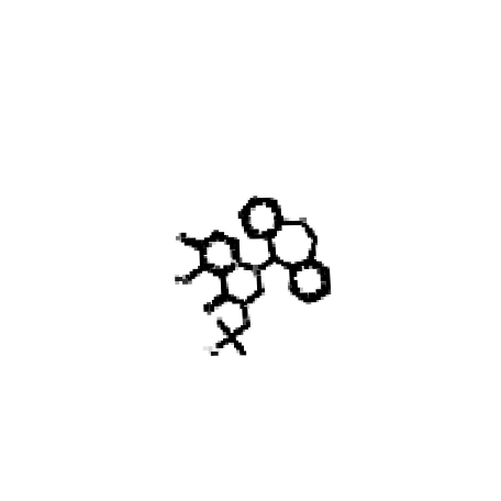 CC(C)(O)CN1CN(C2c3ccccc3CSc3ccccc32)n2ccc(=O)c(O)c2C1=O